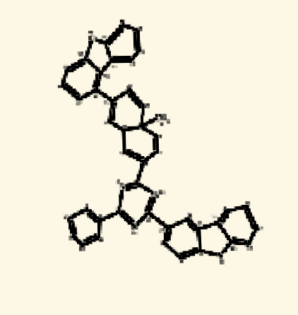 CC12C=CC(c3nc(-c4ccccc4)nc(-c4ccc5sc6ccccc6c5c4)n3)=CC1C=C(c1cccc3oc4ccccc4c13)C=C2